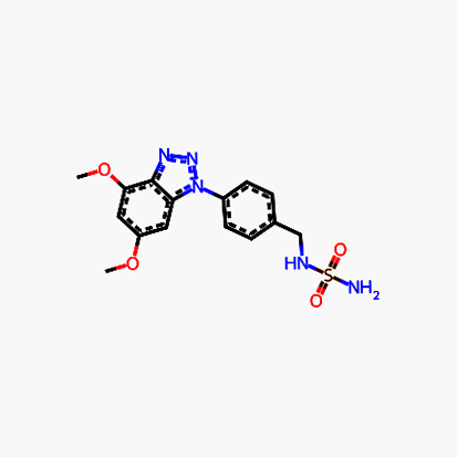 COc1cc(OC)c2nnn(-c3ccc(CNS(N)(=O)=O)cc3)c2c1